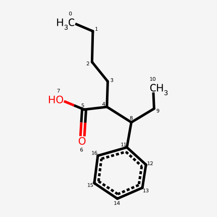 CCCCC(C(=O)O)C(CC)c1ccccc1